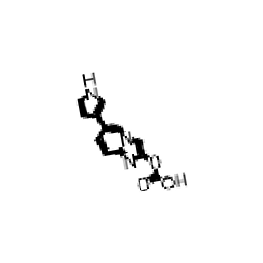 O=C(O)Oc1cn2cc(-c3cc[nH]c3)ccc2n1